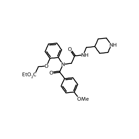 CCOC(=O)COc1ccccc1N(CC(=O)NCC1CCNCC1)C(=O)c1ccc(OC)cc1